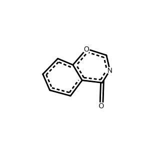 O=c1ncoc2ccccc12